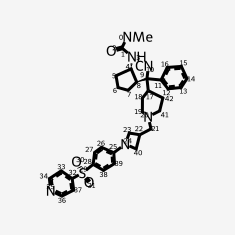 CNC(=O)N[C@H]1CCC[C@@H]1C(C#N)(c1ccccc1)C1CCN(CC2CN(c3ccc(S(=O)(=O)c4ccncc4)cc3)C2)CC1